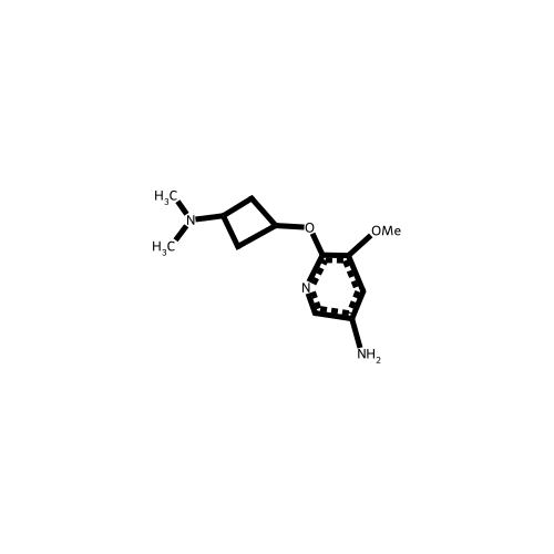 COc1cc(N)cnc1OC1CC(N(C)C)C1